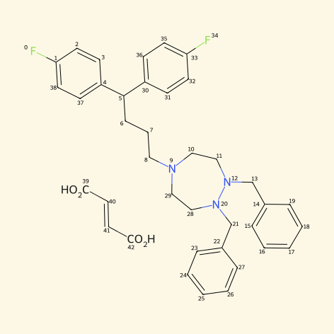 Fc1ccc(C(CCCN2CCN(Cc3ccccc3)N(Cc3ccccc3)CC2)c2ccc(F)cc2)cc1.O=C(O)C=CC(=O)O